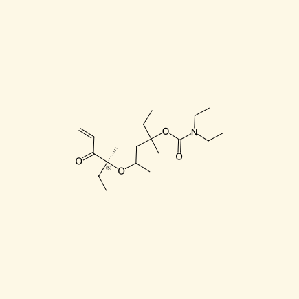 C=CC(=O)[C@](C)(CC)OC(C)CC(C)(CC)OC(=O)N(CC)CC